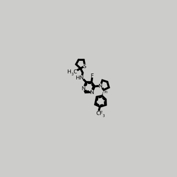 CC1(CNc2ncnc(N3CCC[C@@H]3c3ccc(C(F)(F)F)cc3)c2F)CCCS1